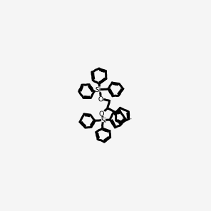 [c]1ccc(C(CO[Si](c2ccccc2)(c2ccccc2)c2ccccc2)O[Si](c2ccccc2)(c2ccccc2)c2ccccc2)cc1